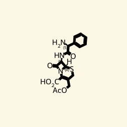 CC(=O)OCC1=C(C(=O)O)N2C(=O)[C@@H](NC(=O)[C@@H](N)c3ccccc3)[C@H]2SC1